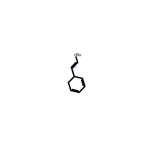 CCCC/C=C/[C]1C=CC=CC1